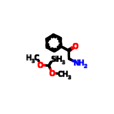 COC([SiH3])OC.NCC(=O)c1ccccc1